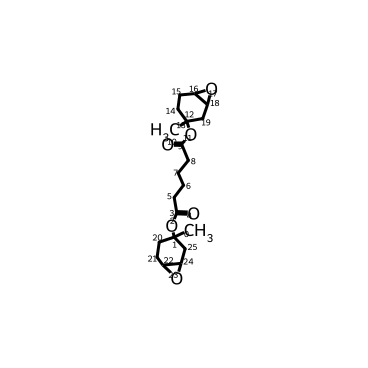 CC1(OC(=O)CCCCC(=O)OC2(C)CCC3OC3C2)CCC2OC2C1